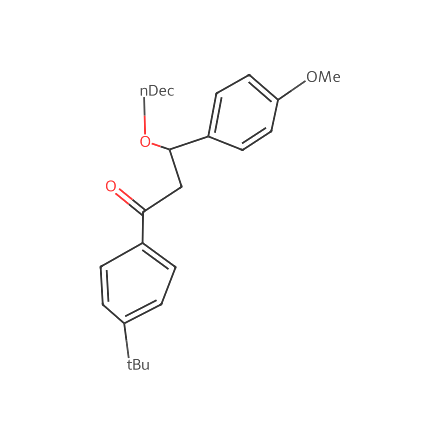 CCCCCCCCCCOC(CC(=O)c1ccc(C(C)(C)C)cc1)c1ccc(OC)cc1